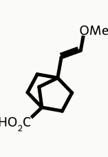 CO/C=C/C12CCC(C(=O)O)(CC1)C2